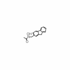 CC(=O)N(O)Cc1ccc2c(c1)Cc1ccccc1-2